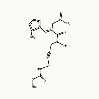 C=C(N)C/C(=C\c1sccc1N)C(=O)N(CC#CCNC(=O)OC(C)(C)C)CCC